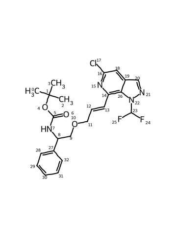 CC(C)(C)OC(=O)NC(COCC=Cc1nc(Cl)cc2cnn(C(F)F)c12)c1ccccc1